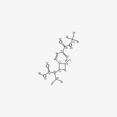 C/C=C(\C=C/C1C(C)CC1C(C(=O)OC)C(C)C)C(=O)OC(C)(C)C